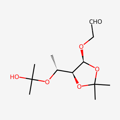 C[C@@H](OC(C)(C)O)[C@@H]1OC(C)(C)O[C@@H]1OCC=O